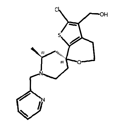 C[C@H]1C[C@@]2(CCN1Cc1ccccn1)OCCc1c2sc(Cl)c1CO